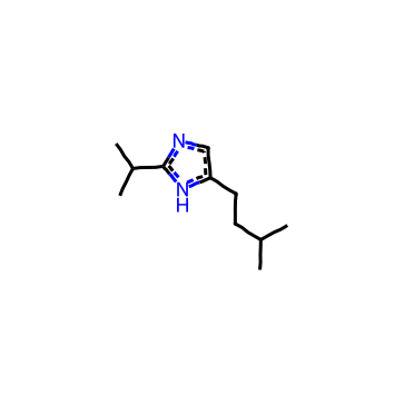 CC(C)CCc1cnc(C(C)C)[nH]1